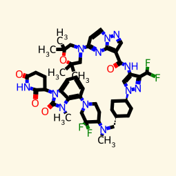 CN(C[C@H]1CC[C@H](n2cc(NC(=O)c3cnn4ccc(N5CC(C)(C)OC(C)(C)C5)nc34)c(C(F)F)n2)CC1)C1CCN(c2cccc3c2n(C)c(=O)n3C2CCC(=O)NC2=O)CC1(F)F